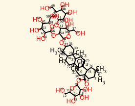 CC1(C)CCC2(C(=O)OC3OC(CO)C(O)C(O)C3O)CCC3(C)C(=CCC4C5(C)CCC(OC6OC(CO)C(O)C(OC7OC(CO)C(O)C(O)C7O)C6OC6OC(CO)C(O)C(O)C6O)C(C)(C)C5CCC43C)C2C1